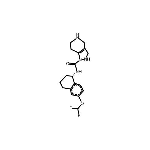 O=C(N[C@H]1CCCc2cc(OC(F)F)ccc21)N1NCC2=C1CCNC2